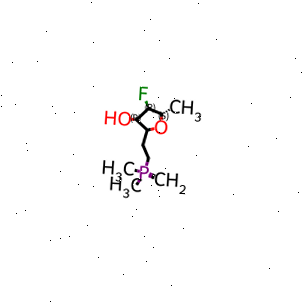 C=P(C)(C)CCC1O[C@@H](C)[C@H](F)[C@@H]1O